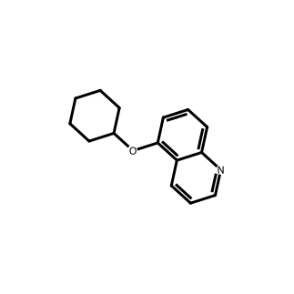 c1cc(OC2CCCCC2)c2cccnc2c1